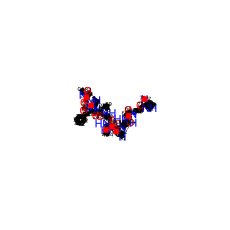 Cc1nc(C(=O)N2CCC[C@@H]2N(C=O)[C@H](CCC2CCCCC2)C(=O)N[C@H](CC(C)C)C(=O)NC(C)(C)C(=O)N[C@H](CC(C)C)C(=O)N[C@H](CC(C)C)C(=O)NC(C)(C)C(=O)NC(C)(C)C(=O)NCCC(=O)NC2(CN(C)C)CCC2)co1